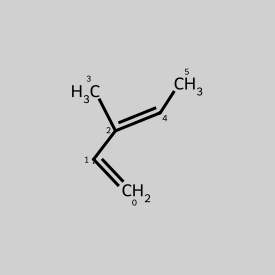 C=[C]C(C)=CC